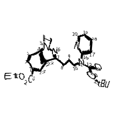 CCOC(=O)c1ccc2[nH]nc(CCCN(C(=O)OC(C)(C)C)c3ccccn3)c2c1